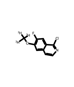 [2H]C([2H])([2H])Oc1cc2ccnc(Cl)c2cc1F